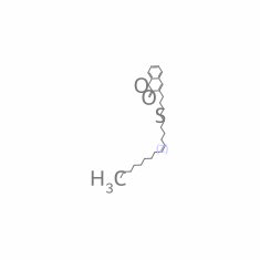 CCCCCCCC/C=C\CCCCSCCCC1=Cc2ccccc2C(=O)C1=O